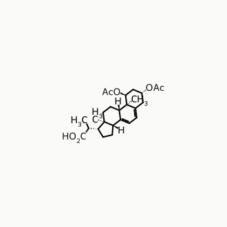 CC(=O)O[C@@H]1CC2=CC=C3[C@@H]4CC[C@H](C(C)C(=O)O)[C@@]4(C)CC[C@@H]3[C@@]2(C)[C@@H](OC(C)=O)C1